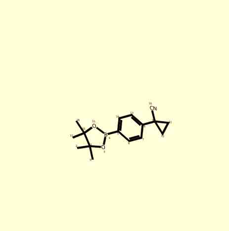 CC1(C)OB(c2ccc(C3(C#N)CC3)cc2)OC1(C)C